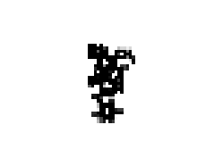 COc1cc(C)c2c(c1)[C@@H]1C(=O)N(Cc3ccccc3)C[C@H]1OC2